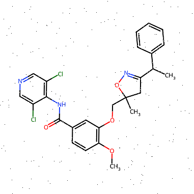 COc1ccc(C(=O)Nc2c(Cl)cncc2Cl)cc1OCC1(C)CC(C(C)c2ccccc2)=NO1